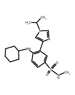 CNS(=O)(=O)c1ccc(NC2CCCCC2)c(-c2cn(C(C)C)cn2)c1